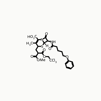 COC(=O)C(CC1S[C@H]2C(NC(=O)CCCCOc3ccccc3)C(=O)N2C(C(=O)O)=C1C)C(=O)OCC(Cl)(Cl)Cl